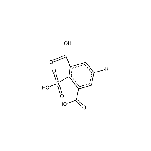 O=C(O)c1c[c]([K])cc(C(=O)O)c1S(=O)(=O)O